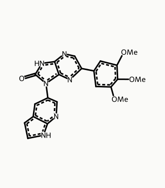 COc1cc(-c2cnc3[nH]c(=O)n(-c4cnc5[nH]ccc5c4)c3n2)cc(OC)c1OC